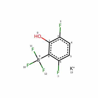 Oc1c(F)ccc(F)c1[B-](F)(F)F.[K+]